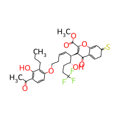 CCCc1c(OCC/C=C\[C@@H](c2c(C(=O)OC)oc3c(c2=O)=CCC(=S)C=3)[C@H](O)CCC(F)(F)F)ccc(C(C)=O)c1O